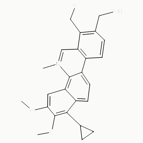 COc1cc2c(ccc3c4ccc(CO)c(CO)c4c[n+](C)c23)c(C2CC2)c1OC